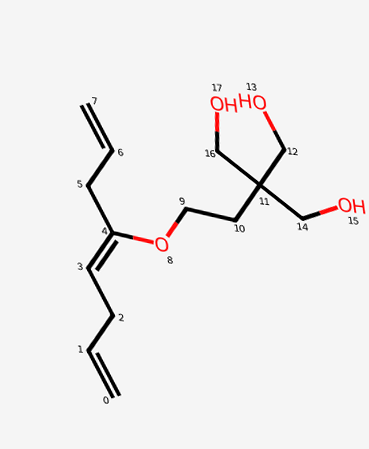 C=CCC=C(CC=C)OCCC(CO)(CO)CO